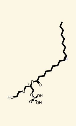 CCCCCCCC/C=C\CCCCCCCC(=O)O[C@H](COCCO)COP(=O)(O)O